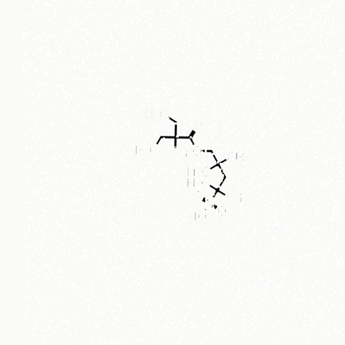 CCC(C)(CC)C(=O)OCC(C)(C)CC(C)(C)S(=O)(=O)O